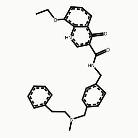 CCOc1cccc2c(=O)c(C(=O)NCc3ccc(CN(C)CCc4ccccc4)cc3)c[nH]c12